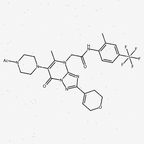 CC(=O)N1CCN(c2c(C)n(CC(=O)Nc3ccc(S(F)(F)(F)(F)F)cc3C)c3nc(C4=CCOCC4)nn3c2=O)CC1